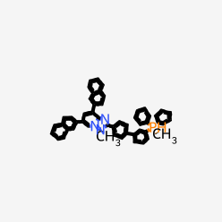 CN1C(c2ccc(-c3cccc([PH](C)(c4ccccc4)c4ccccc4)c3)cc2)N=C2C(c3ccc4ccccc4c3)=CC(c3ccc4ccccc4c3)=CN21